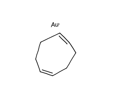 C1=CCCC=CCC1.[Au]